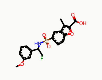 COc1cccc(C(CF)NS(=O)(=O)c2ccc3oc(C(=O)O)c(C)c3c2)c1